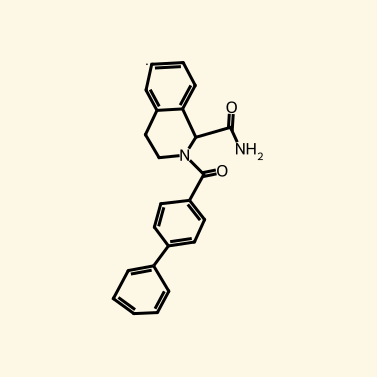 NC(=O)C1c2cc[c]cc2CCN1C(=O)c1ccc(-c2ccccc2)cc1